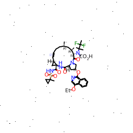 CCOc1cnc(O[C@@H]2C[C@H]3C(=O)N[C@]4(C(=O)NS(=O)(=O)C5(C)CC5)C[C@H]4/C=C\CC[C@@H](C)C[C@@H](C)[C@H](N(C(=O)O)C(C)(C)C(C)(F)F)C(=O)N3C2)c2ccccc12